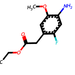 CCOC(=O)Cc1cc(OC)c(N)cc1F